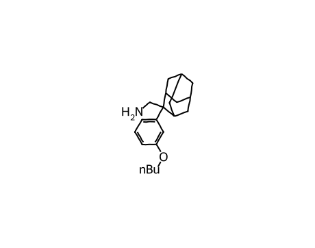 CCCCOc1cccc(C2(CN)C3CC4CC(C3)CC2C4)c1